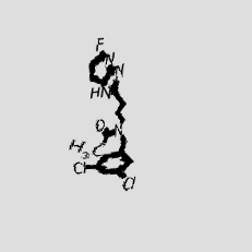 CC(=O)N(CCCc1nc2nc(F)ccc2[nH]1)Cc1cc(Cl)cc(Cl)c1